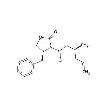 C=CC[C@H](C)CC(=O)N1C(=O)OC[C@@H]1Cc1ccccc1